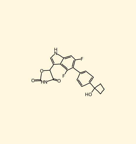 O=C1NC(=O)C(c2c[nH]c3cc(F)c(-c4ccc(C5(O)CCC5)cc4)c(F)c23)O1